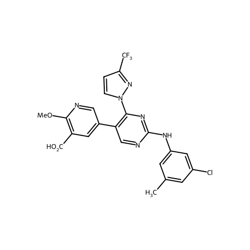 COc1ncc(-c2cnc(Nc3cc(C)cc(Cl)c3)nc2-n2ccc(C(F)(F)F)n2)cc1C(=O)O